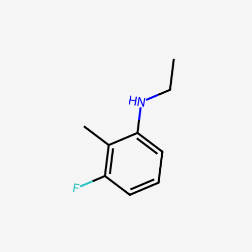 CCNc1cccc(F)c1C